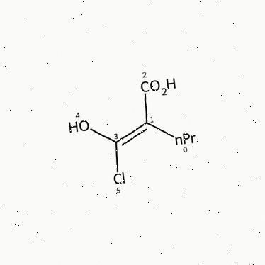 CCCC(C(=O)O)=C(O)Cl